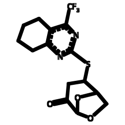 O=C1CC(Sc2nc3c(c(C(F)(F)F)n2)CCCC3)C2COC1O2